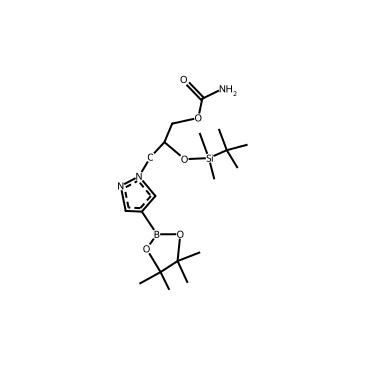 CC1(C)OB(c2cnn(CC(COC(N)=O)O[Si](C)(C)C(C)(C)C)c2)OC1(C)C